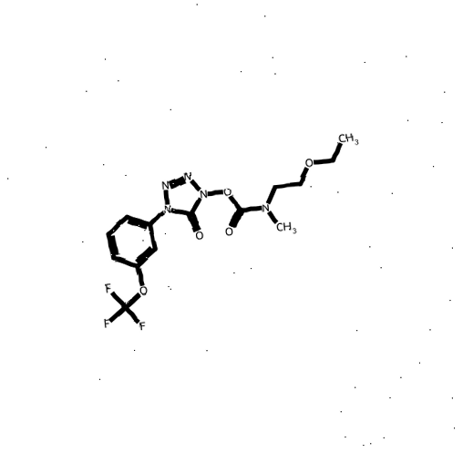 CCOCCN(C)C(=O)On1nnn(-c2cccc(OC(F)(F)F)c2)c1=O